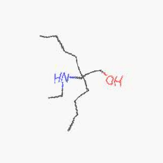 CCCCC(CO)(CCCC)NCC